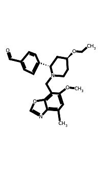 CCO[C@H]1CCN(Cc2c(OC)cc(C)c3ncoc23)[C@H](c2ccc(C=O)cc2)C1